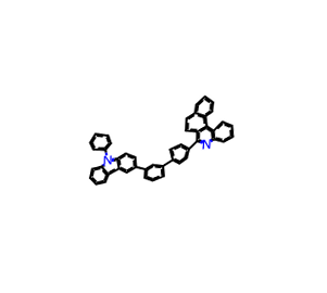 c1ccc(-n2c3ccccc3c3cc(-c4cccc(-c5ccc(-c6nc7ccccc7c7c6ccc6ccccc67)cc5)c4)ccc32)cc1